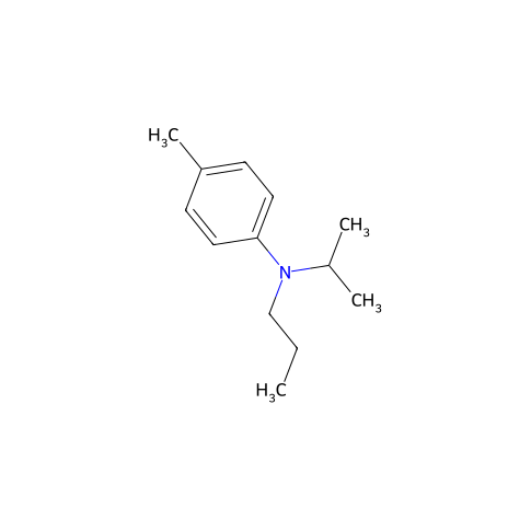 CCCN(c1ccc(C)cc1)C(C)C